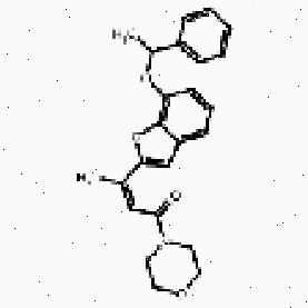 C/C(=C/C(=O)N1CCOCC1)c1cc2cccc(OC(C)c3ccccc3)c2o1